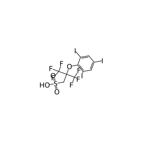 O=S(=O)(O)CC(Oc1c(I)cc(I)cc1I)(C(F)(F)F)C(F)(F)F